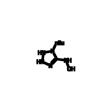 CCCCN1NNN=C1NO